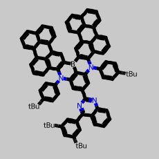 CC(C)(C)c1ccc(N2c3cc(-c4nc(-c5cc(C(C)(C)C)cc(C(C)(C)C)c5)c5ccccc5n4)cc4c3B(c3cc5c6cccc7cccc(c8cccc(c32)c85)c76)c2cc3c5cccc6cccc(c7cccc(c2N4c2ccc(C(C)(C)C)cc2)c73)c65)cc1